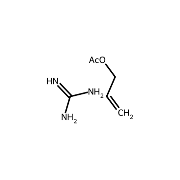 C=CCOC(C)=O.N=C(N)N